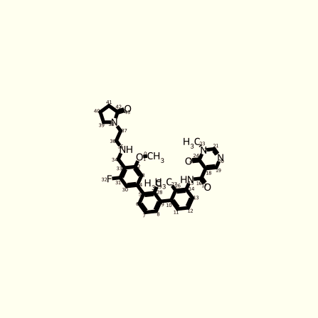 COc1cc(-c2cccc(-c3cccc(NC(=O)c4cncn(C)c4=O)c3C)c2C)cc(F)c1CNCCN1CCCC1=O